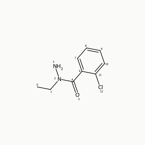 CCN(N)C(=O)c1ccccc1Cl